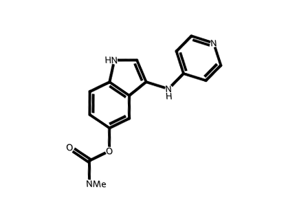 CNC(=O)Oc1ccc2[nH]cc(Nc3ccncc3)c2c1